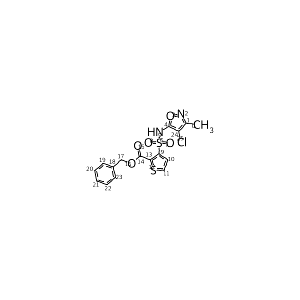 Cc1noc(NS(=O)(=O)c2ccsc2C(=O)OCc2ccccc2)c1Cl